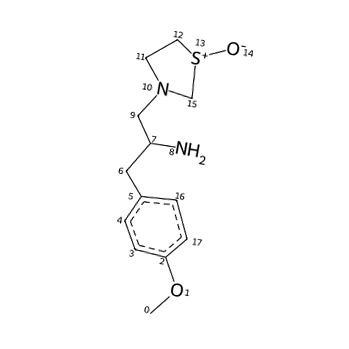 COc1ccc(CC(N)CN2CC[S+]([O-])C2)cc1